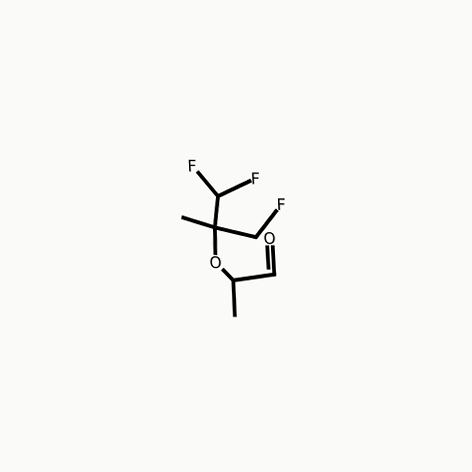 CC(C=O)OC(C)(CF)C(F)F